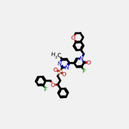 Cc1cc(-c2cc(F)c(=O)n(Cc3ccc4c(c3)CCCO4)c2)nc(S(=O)(=O)CCC(OCc2ccccc2F)c2ccccc2)n1